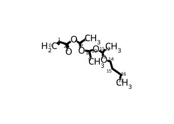 C=CC(=O)OC(C)OC(C)OC(C)OCCCC